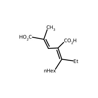 CCCCCCC(CC)=C(C=C(C)C(=O)O)C(=O)O